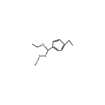 CCOC(SSCC)c1ccc(CC)cc1